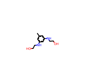 Cc1cc(NCCO)cc(NCCO)c1